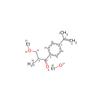 C=C(C)c1ccc(C(=O)C(C)COCC)cc1.CC[O]